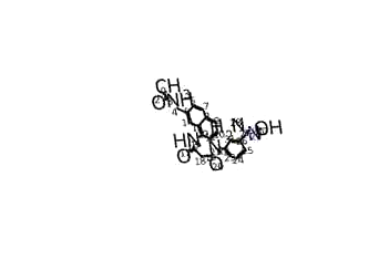 CC(=O)NCc1ccc2ccc3c(c2c1)NC(=O)CC(=O)N3c1cccc(/C(N)=N/O)c1